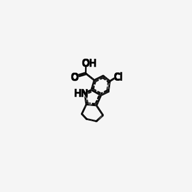 O=C(O)c1cc(Cl)cc2c3c([nH]c12)CCCC3